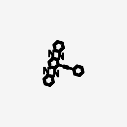 C(#Cc1c2nc3ccccc3nc2cc2nc3ccccc3nc12)c1ccccc1